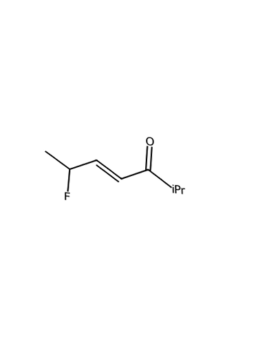 CC(F)/C=C/C(=O)C(C)C